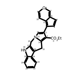 CCOC(=O)c1c(-c2ccc3coccc2-3)cn2c1Cc1c([nH]c3ccccc13)C2